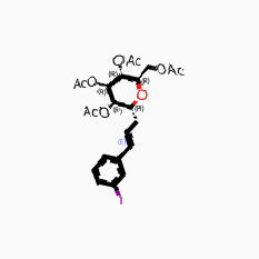 CC(=O)OC[C@H]1O[C@H](C/C=C/c2cccc(I)c2)[C@@H](OC(C)=O)[C@@H](OC(C)=O)[C@@H]1OC(C)=O